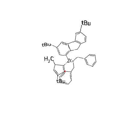 CC1C=C(C(C)(C)C)C=[C]1[Zr](=[C](Cc1ccccc1)Cc1ccccc1)[c]1cc(C(C)(C)C)cc2c1Cc1ccc(C(C)(C)C)cc1-2